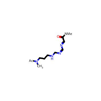 CNC(=O)/C=N/C=N\CNCCCN(C)C(C)=O